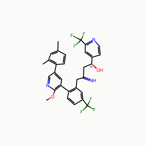 COc1ncc(-c2ccc(C)cc2C)cc1-c1ccc(C(F)(F)F)cc1CC(=N)C[C@H](O)c1ccnc(C(F)(F)F)c1